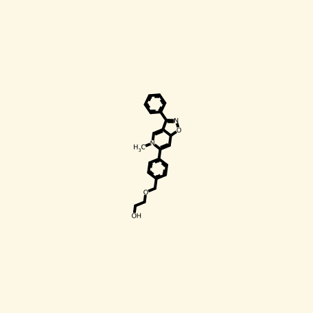 CN1C=C2C(c3ccccc3)=NOC2C=C1c1ccc(COCCO)cc1